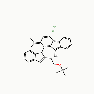 CC(C)=c1ccc2c(c1C1C(CCO[Si](C)(C)C)=Cc3ccccc31)[C]([Zr+2])=c1ccccc1=2.[Cl-].[Cl-]